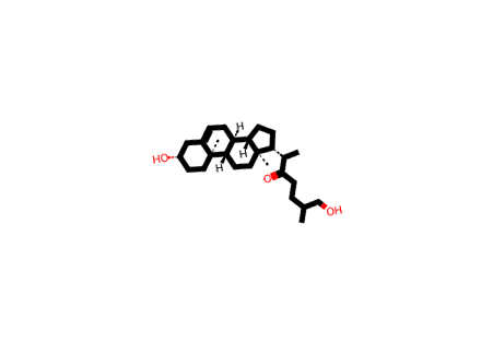 CC(CO)CCC(=O)C(C)[C@H]1CC[C@H]2[C@@H]3CC=C4C[C@@H](O)CC[C@]4(C)[C@H]3CC[C@]12C